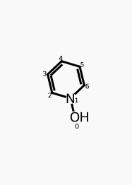 ON1C=C=CC=C1